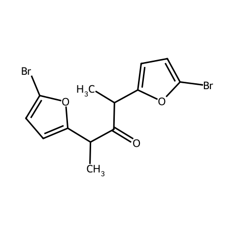 CC(C(=O)C(C)c1ccc(Br)o1)c1ccc(Br)o1